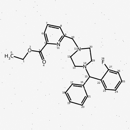 CCOC(=O)c1cccc(CN2CCN(C(c3ccccc3)c3ccccc3F)CC2)n1